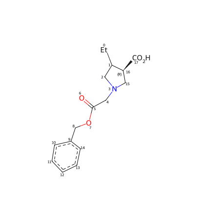 CCC1CN(CC(=O)OCc2ccccc2)C[C@@H]1C(=O)O